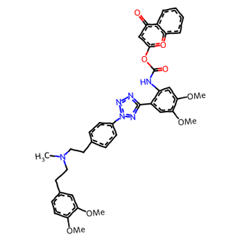 COc1ccc(CCN(C)CCc2ccc(-n3nnc(-c4cc(OC)c(OC)cc4NC(=O)Oc4cc(=O)c5ccccc5o4)n3)cc2)cc1OC